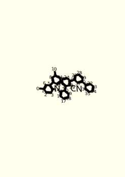 Cc1ccc2c(c1)c1cc(C)ccc1n2-c1ccccc1-c1cccc(-c2cccc(-c3ccccc3)c2)c1C#N